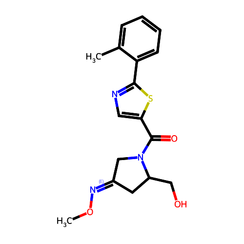 CO/N=C1\CC(CO)N(C(=O)c2cnc(-c3ccccc3C)s2)C1